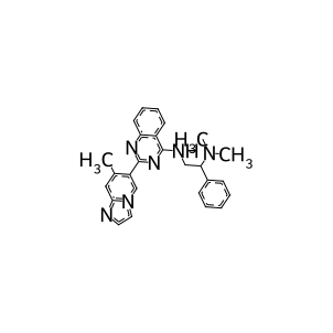 Cc1cc2nccn2cc1-c1nc(NCC(c2ccccc2)N(C)C)c2ccccc2n1